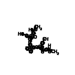 C#Cc1ccc(C(=O)OC(COC(=O)c2ccc(NC(=O)C=C)cc2)COc2ccc(C3(c4ccc(OCC(COC(=O)c5ccc(NC(=O)C=C)cc5)OC(=O)c5ccc(C#C)cc5)cc4)c4ccccc4-c4ccccc43)cc2)cc1